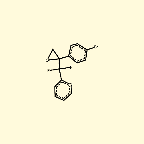 FC(F)(c1ccccn1)C1(c2ccc(Br)cc2)CO1